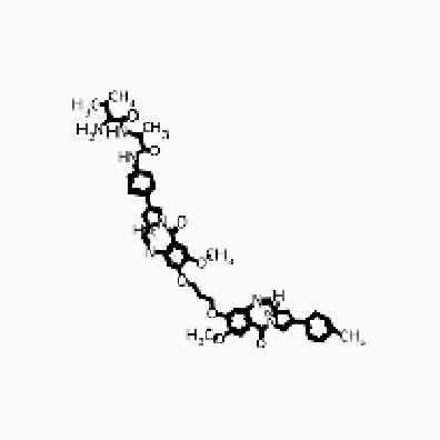 COc1cc2c(cc1OCCCOc1cc3c(cc1OC)C(=O)N1C=C(c4ccc(NC(=O)C(C)NC(=O)C(N)C(C)C)cc4)C[C@H]1C=N3)N=C[C@@H]1CC(c3ccc(C)cc3)=CN1C2=O